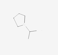 CCCCC([C]=O)N1CCCC1